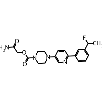 CC(F)c1cccc(-c2ccc(N3CCN(C(=O)OCC(N)=O)CC3)cn2)c1